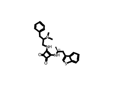 C[C@@H](Cc1csc2ccccc12)Nc1c(NCC(Cc2ccccc2)N(C)C)c(=O)c1=O